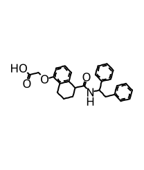 O=C(O)COc1cccc2c1CCCC2C(=O)NC(Cc1ccccc1)c1ccccc1